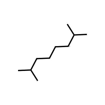 CC(C)[CH]CCCC(C)C